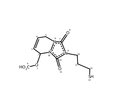 O=C(O)OC1C=CCn2c(=O)n(CCCS)c(=O)n21